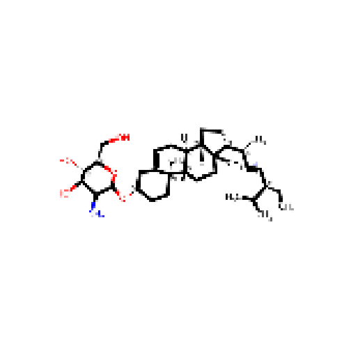 CC[C@H](/C=C/[C@@H](C)[C@H]1CC[C@H]2[C@@H]3CC=C4C[C@@H](OC5O[C@H](CO)[C@@H](O)C(O)C5N)CC[C@]4(C)[C@H]3CCC12C)C(C)C